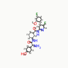 COc1cc(F)ccc1-c1cc(NC(=O)C2CCCC(NC(=O)C(N)c3ccc(O)cc3)C2)ncc1F